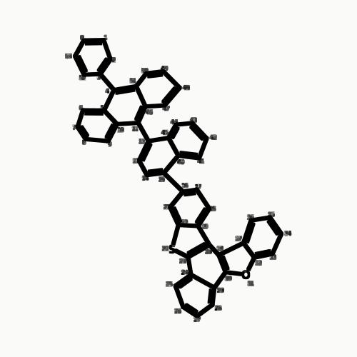 c1ccc(-c2c3ccccc3c(-c3ccc(-c4ccc5c(c4)sc4c6ccccc6c6oc7ccccc7c6c54)c4ccccc34)c3ccccc23)cc1